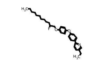 CCCCCCCCCCC(F)COc1ccc(Oc2ccc(-c3ccc(CC)cn3)cc2)cc1